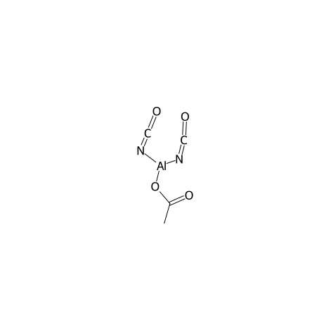 CC(=O)[O][Al]([N]=C=O)[N]=C=O